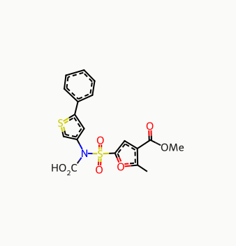 COC(=O)c1cc(S(=O)(=O)N(C(=O)O)c2csc(-c3ccccc3)c2)oc1C